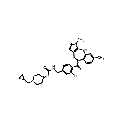 Cc1ccc2c(c1)Nc1c(cnn1C)CN2C(=O)c1ccc(CNC(=O)ON2CCN(CC3CC3)CC2)cc1Cl